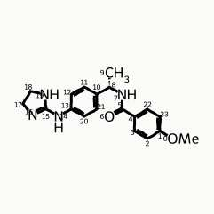 COc1ccc(C(=O)N[C@@H](C)c2ccc(NC3=NCCN3)cc2)cc1